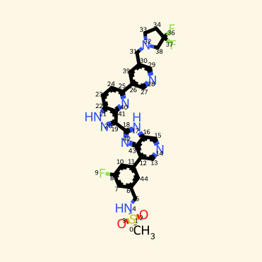 CS(=O)(=O)NCc1cc(F)cc(-c2cncc3[nH]c(-c4n[nH]c5ccc(-c6cncc(CN7CCC(F)(F)C7)c6)nc45)nc23)c1